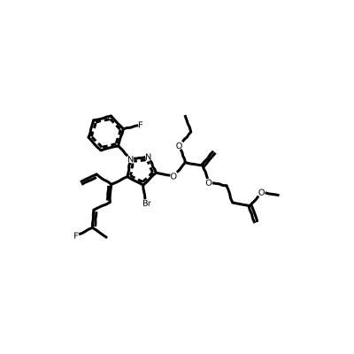 C=C/C(=C\C=C(/C)F)c1c(Br)c(OC(OCC)C(=C)OCCC(=C)OC)nn1-c1ccccc1F